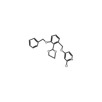 Clc1cc(OCc2cccc(OCc3ccccc3)c2C2OCCO2)ccn1